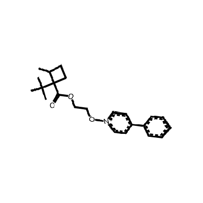 CC1CCC1(C(=O)OCCO[n+]1ccc(-c2ccccc2)cc1)C(C)(C)C